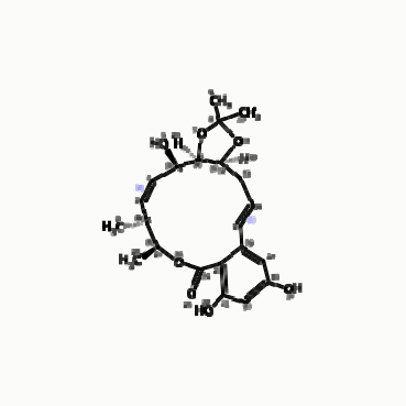 C[C@@H]1/C=C\[C@@H](O)[C@H]2OC(C)(C)O[C@H]2C/C=C/c2cc(O)cc(O)c2C(=O)O[C@H]1C